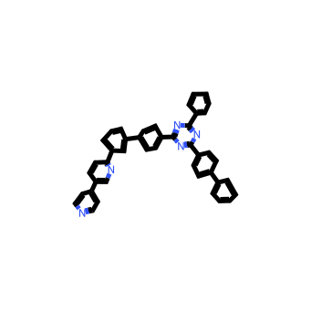 c1ccc(-c2ccc(-c3nc(-c4ccccc4)nc(-c4ccc(-c5cccc(-c6ccc(-c7ccncc7)cn6)c5)cc4)n3)cc2)cc1